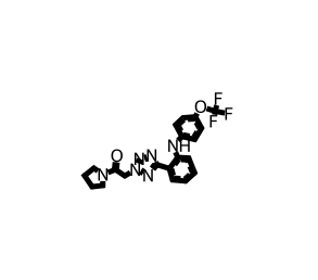 O=C(Cn1nnc(-c2ccccc2Nc2ccc(OC(F)(F)F)cc2)n1)N1CCCC1